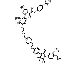 C=NCc1ccc(N2C(=O)C(C)(C)N(c3ccc(OCC4CCN(CCOCCC(=O)N[C@H](C(=O)N5C[C@H](O)C[C@H]5C(=O)NCc5ccc(-c6scnc6C)cc5)C(C)(C)C)CC4)cc3)C2=S)cc1C(F)(F)F